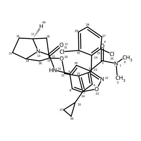 CN(C)C(=O)c1cccc(NC(=O)N2C3CC[C@H]2CC(OCc2c(-c4c(Cl)cccc4Cl)noc2C2CC2)C3)c1